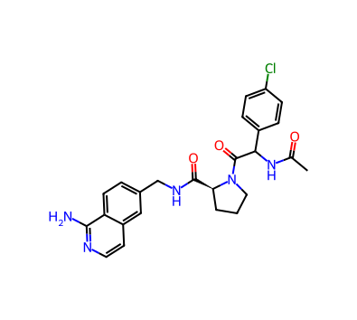 CC(=O)NC(C(=O)N1CCC[C@H]1C(=O)NCc1ccc2c(N)nccc2c1)c1ccc(Cl)cc1